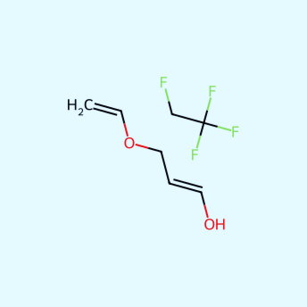 C=COCC=CO.FCC(F)(F)F